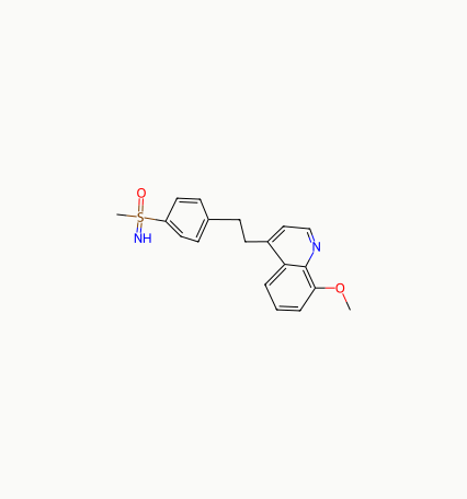 COc1cccc2c(CCc3ccc(S(C)(=N)=O)cc3)ccnc12